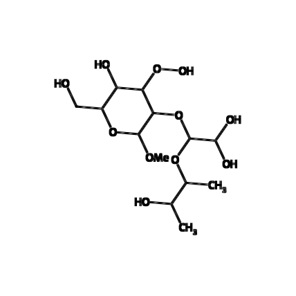 COC1OC(CO)C(O)C(OO)C1OC(OC(C)C(C)O)C(O)O